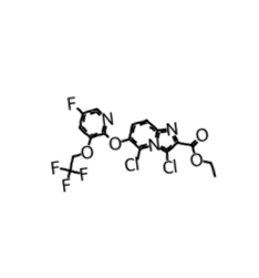 CCOC(=O)c1nc2ccc(Oc3ncc(F)cc3OCC(F)(F)F)c(Cl)n2c1Cl